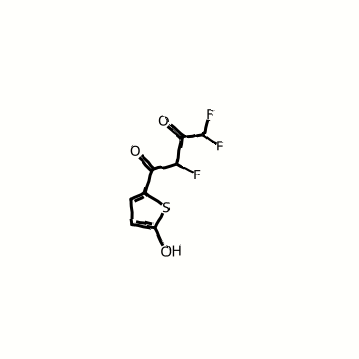 O=C(c1ccc(O)s1)C(F)C(=O)C(F)F